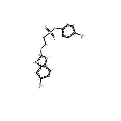 Cc1ccc(NS(=O)(=O)CCSc2nc3cc(C)ccc3s2)cc1